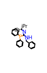 CC(C)C(/N=C(/NCc1ccccc1)P(c1ccccc1)c1ccccc1)C(C)C